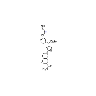 COC(C1=CC(N/C=C\C=N)=CCC1)C1CN=C(N2CCC3=C(CC(C(N)=O)C[C@@H]3C)C2)S1